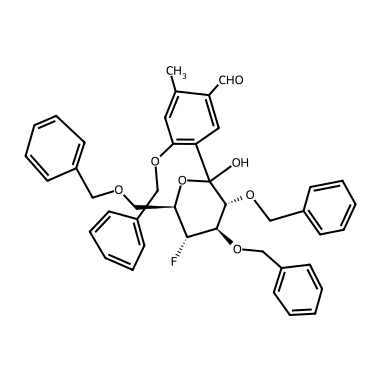 Cc1cc(OCc2ccccc2)c(C2(O)O[C@H](COCc3ccccc3)[C@@H](F)[C@H](OCc3ccccc3)[C@H]2OCc2ccccc2)cc1C=O